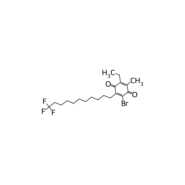 CCC1=C(C)C(=O)C(Br)=C(CCCCCCCCCCC(F)(F)F)C1=O